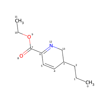 CCCC1C=CC(C(=O)OCC)=NC1